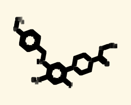 CC(C)(C)OC(=O)N1CCN(c2cc(NCc3ccc(OC(F)(F)F)cc3)c([N+](=O)[O-])cc2F)CC1